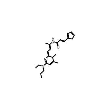 CCCN(CC)C1=N/C(=C/C=C(\C)NC(=O)/C=C/C2=CC=CC2)C(C)C(C)=C1